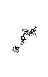 Cn1nc(C2CC2)cc1C(=O)NCc1ccc(OCCCN2CCCCO2)c(Cl)c1